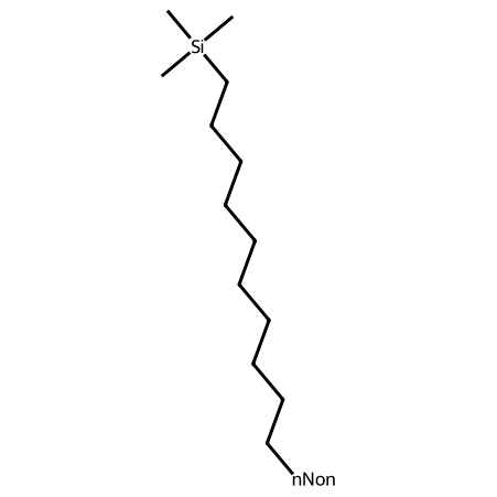 [CH2]CCCCCCCCCCCCCCCCCC[Si](C)(C)C